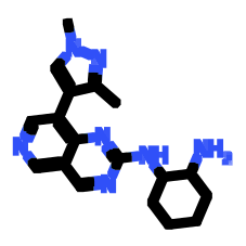 Cc1nn(C)cc1-c1cncc2cnc(NC3CCCCC3N)nc12